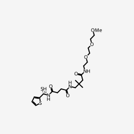 COCCOCCOCCNC(=O)CC(C)(C)CNC(=O)CCC(=O)N[C@@H](S)c1cccs1